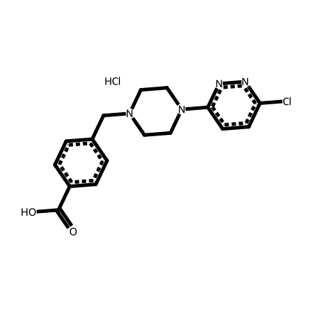 Cl.O=C(O)c1ccc(CN2CCN(c3ccc(Cl)nn3)CC2)cc1